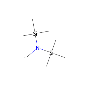 [CH2]N([Si](C)(C)C)[Si](C)(C)C